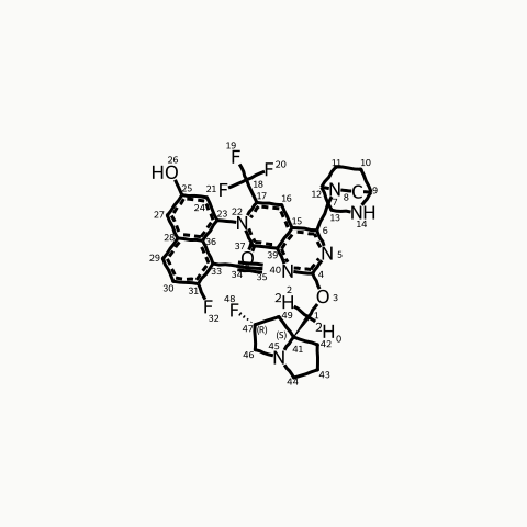 [2H]C([2H])(Oc1nc(N2CC3CCC2CN3)c2cc(C(F)(F)F)n(-c3cc(O)cc4ccc(F)c(C#C)c34)c(=O)c2n1)[C@@]12CCCN1C[C@H](F)C2